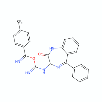 N=C(NC1N=C(c2ccccc2)c2ccccc2NC1=O)OC(=N)c1ccc(C(F)(F)F)cc1